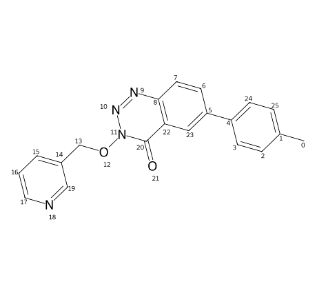 Cc1ccc(-c2ccc3nnn(OCc4cccnc4)c(=O)c3c2)cc1